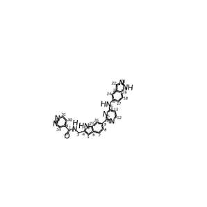 O=C(NCc1cc2ccc(-c3nccc(Nc4ccc5[nH]ncc5c4)n3)cc2[nH]1)c1ccnnc1